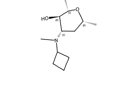 C[C@@H]1C[C@H](N(C)C2CCC2)[C@@H](O)[C@H](C)O1